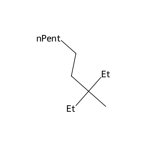 CCCCCCCC(C)(CC)CC